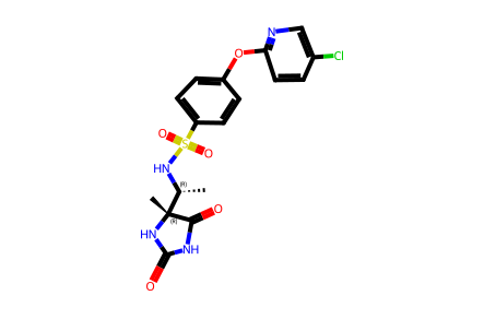 C[C@@H](NS(=O)(=O)c1ccc(Oc2ccc(Cl)cn2)cc1)[C@@]1(C)NC(=O)NC1=O